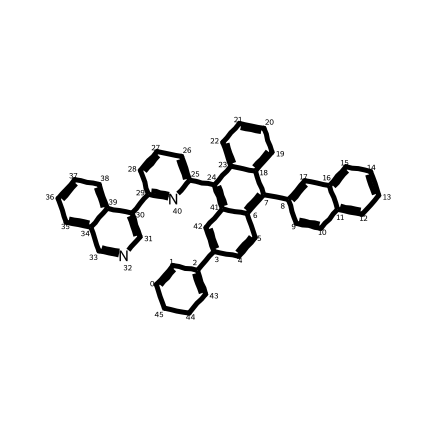 C1=CC(c2ccc3c(-c4ccc5ccccc5c4)c4ccccc4c(-c4cccc(-c5cncc6ccccc56)n4)c3c2)=CCC1